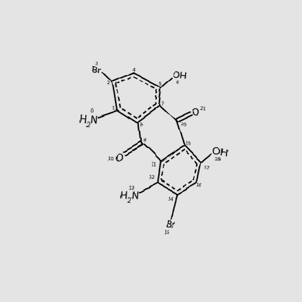 Nc1c(Br)cc(O)c2c1C(=O)c1c(N)c(Br)cc(O)c1C2=O